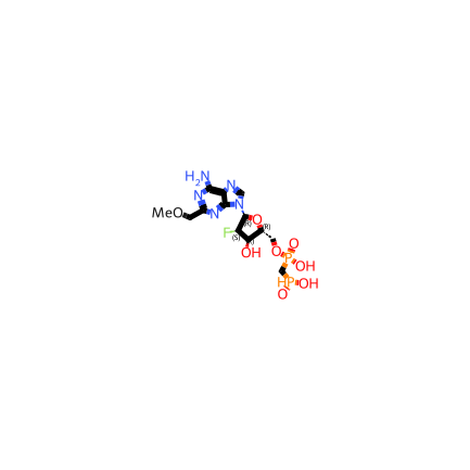 COCc1nc(N)c2ncn([C@@H]3O[C@H](COP(=O)(O)C[PH](=O)O)[C@@H](O)[C@@H]3F)c2n1